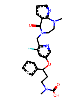 CN(CCC(Oc1cnc(CN2CCN(C)c3ncccc3C2=O)c(F)c1)c1ccccc1)C(=O)O